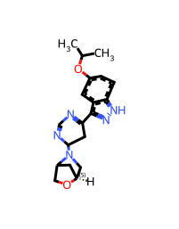 CC(C)Oc1ccc2[nH]nc(C3=NC=NC(N4C[C@@H]5CC4CO5)C3)c2c1